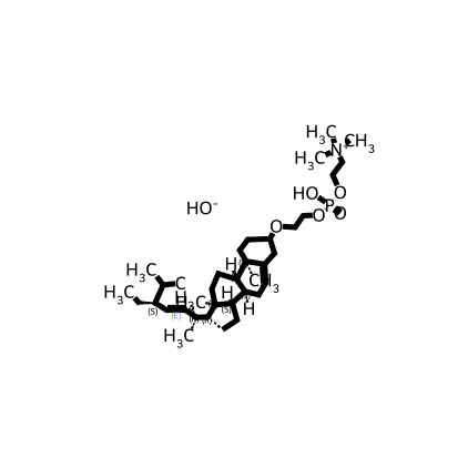 CC[C@H](/C=C/[C@@H](C)[C@H]1CC[C@H]2[C@@H]3CC=C4CC(OCCOP(=O)(O)OCC[N+](C)(C)C)CC[C@]4(C)[C@H]3CC[C@]12C)C(C)C.[OH-]